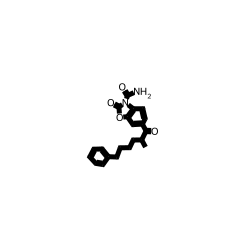 CC(CCCCc1ccccc1)C(=O)c1ccc2c(c1)oc(=O)n2C(N)=O